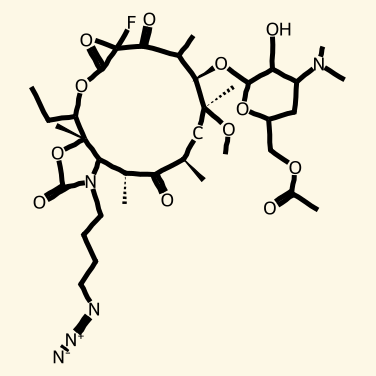 CCC1OC(=O)C(C)(F)C(=O)C(C)[C@@H](OC2OC(COC(C)=O)CC(N(C)C)C2O)[C@@](C)(OC)C[C@@H](C)C(=O)[C@H](C)C2N(CCCCN=[N+]=[N-])C(=O)O[C@]12C